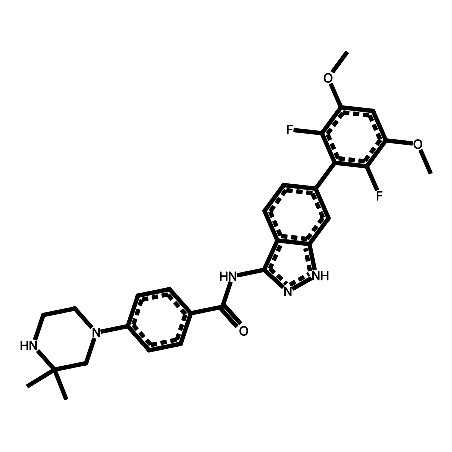 COc1cc(OC)c(F)c(-c2ccc3c(NC(=O)c4ccc(N5CCNC(C)(C)C5)cc4)n[nH]c3c2)c1F